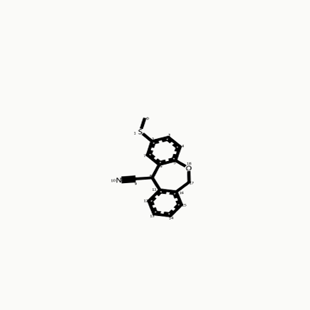 CSc1ccc2c(c1)C(C#N)c1ccccc1CO2